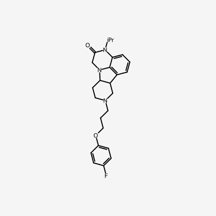 CC(C)N1C(=O)CN2c3c(cccc31)C1CN(CCCOc3ccc(F)cc3)CCC12